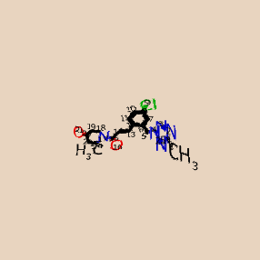 Cc1nnn(Cc2cc(Cl)ccc2C=CC(=O)N2CCC(=O)CC2C)n1